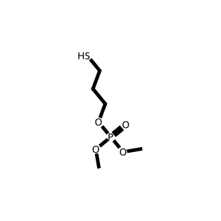 COP(=O)(OC)OCCCS